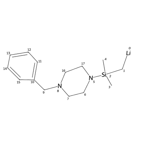 [Li][CH2][Si](C)(C)N1CCN(Cc2ccccc2)CC1